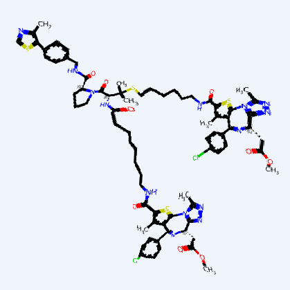 COC(=O)C[C@@H]1N=C(c2ccc(Cl)cc2)c2c(sc(C(=O)NCCCCCCCC(=O)N[C@H](C(=O)N3CCC[C@H]3C(=O)NCc3ccc(-c4scnc4C)cc3)C(C)(C)SCCCCCCNC(=O)c3sc4c(c3C)C(c3ccc(Cl)cc3)=N[C@@H](CC(=O)OC)c3nnc(C)n3-4)c2C)-n2c(C)nnc21